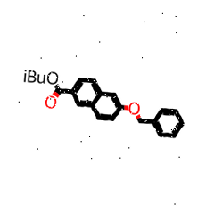 CC(C)COC(=O)c1ccc2cc(OCc3ccccc3)ccc2c1